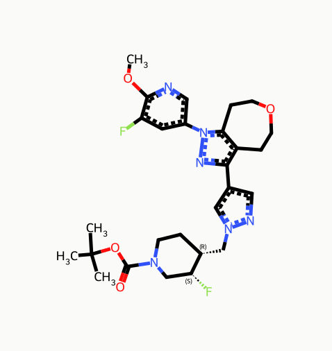 COc1ncc(-n2nc(-c3cnn(C[C@H]4CCN(C(=O)OC(C)(C)C)C[C@H]4F)c3)c3c2CCOCC3)cc1F